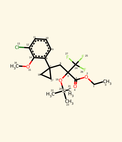 CCOC(=O)C(CC1(c2cccc(Cl)c2OC)CC1)(O[Si](C)(C)C)C(F)(F)F